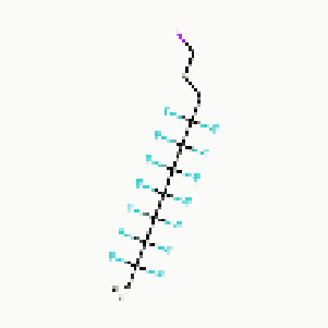 FC(F)(F)C(F)(F)C(F)(F)C(F)(F)C(F)(F)C(F)(F)C(F)(F)C(F)(F)[CH]CCI